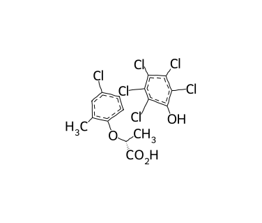 Cc1cc(Cl)ccc1O[C@H](C)C(=O)O.Oc1c(Cl)c(Cl)c(Cl)c(Cl)c1Cl